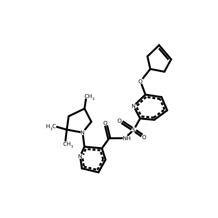 CC1CN(c2ncccc2C(=O)NS(=O)(=O)c2cccc(OC3CC=CC3)n2)C(C)(C)C1